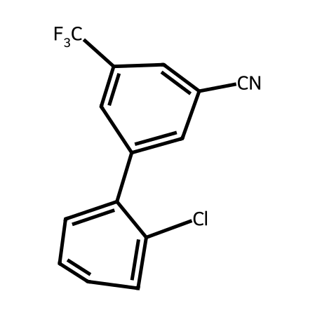 N#Cc1cc(-c2ccccc2Cl)cc(C(F)(F)F)c1